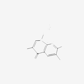 B.CCn1cc(C(=O)O)c(=O)c2cc(F)c(Cl)nc21.F.F